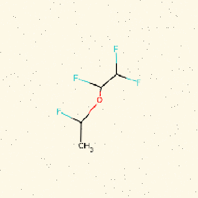 CC(F)OC(F)C(F)F